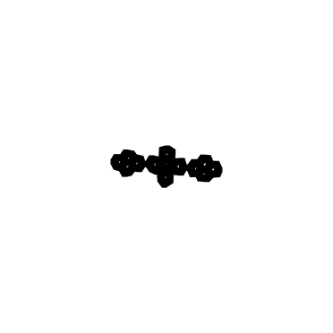 c1ccc([Si](c2ccccc2)(c2ccc(-c3cc4ccc5cccc6ccc(c3)c4c56)cc2)c2ccc(-c3cc4ccc5cccc6ccc(c3)c4c56)cc2)cc1